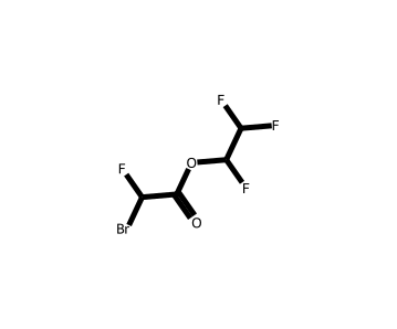 O=C(OC(F)C(F)F)C(F)Br